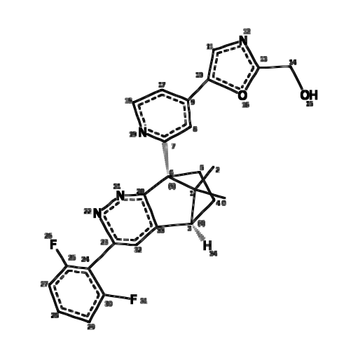 CC1(C)[C@H]2CC[C@]1(c1cc(-c3cnc(CO)o3)ccn1)c1nnc(-c3c(F)cccc3F)cc12